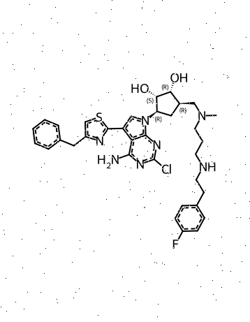 CN(CCCNCCc1ccc(F)cc1)C[C@H]1C[C@@H](n2cc(-c3nc(Cc4ccccc4)cs3)c3c(N)nc(Cl)nc32)[C@H](O)[C@@H]1O